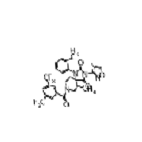 Cc1ccccc1N1C(=O)N(c2ncon2)C(=O)C12CCN(C(=O)c1cc(C(F)(F)F)cc(C(F)(F)F)c1)CC2C